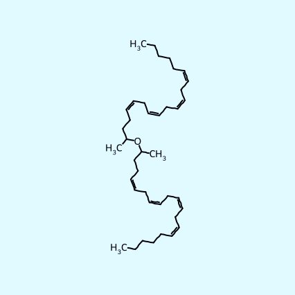 CCCCC/C=C\C/C=C\C/C=C\C/C=C\CCC(C)OC(C)CC/C=C\C/C=C\C/C=C\C/C=C\CCCCC